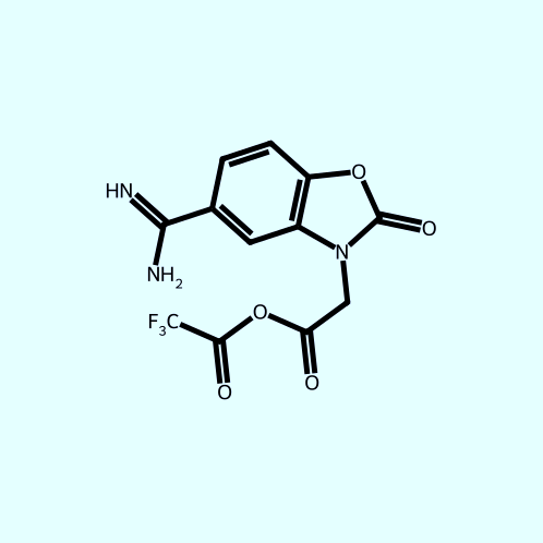 N=C(N)c1ccc2oc(=O)n(CC(=O)OC(=O)C(F)(F)F)c2c1